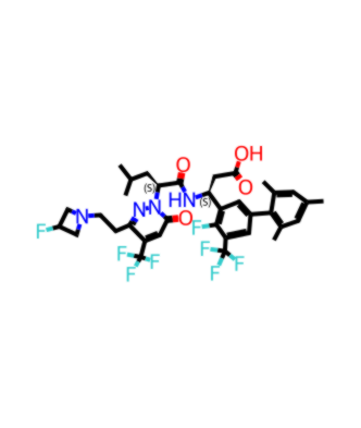 Cc1cc(C)c(-c2cc([C@H](CC(=O)O)NC(=O)[C@H](CC(C)C)n3nc(CCN4CC(F)C4)c(C(F)(F)F)cc3=O)c(F)c(C(F)(F)F)c2)c(C)c1